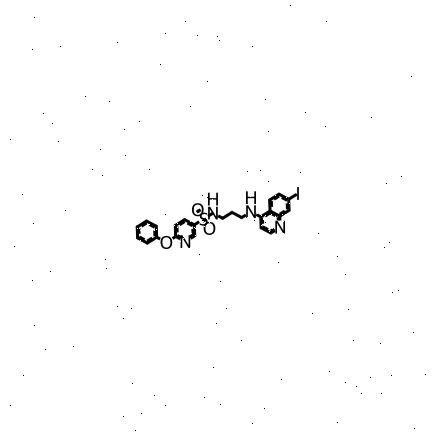 O=S(=O)(NCCCNc1ccnc2cc(I)ccc12)c1ccc(Oc2ccccc2)nc1